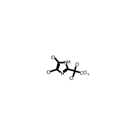 Clc1nc(C(Cl)(Cl)C(Cl)(Cl)Cl)[nH]c1Cl